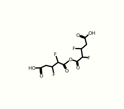 O=C(O)CC(F)C(F)C(=O)OC(=O)C(F)C(F)CC(=O)O